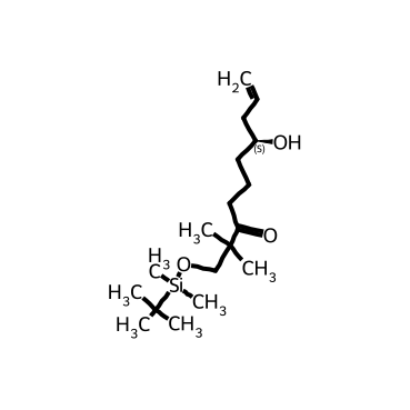 C=CC[C@@H](O)CCCC(=O)C(C)(C)CO[Si](C)(C)C(C)(C)C